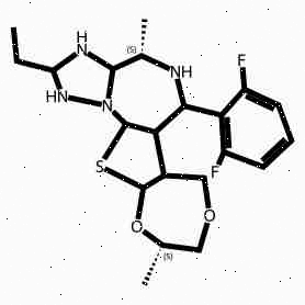 CCC1NC2[C@H](C)NC(c3c(F)cccc3F)C3C4COC[C@H](C)OC4SC3N2N1